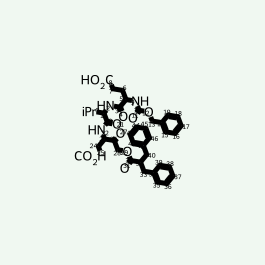 CC(C)C(NC(=O)C(CCC(=O)O)NC(=O)OCc1ccccc1)C(=O)NC(CC(=O)O)C(=O)COC(=O)C(Cc1ccccc1)Cc1ccccc1